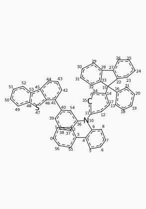 c1ccc(-c2ccccc2N(c2ccc(C3(c4ccccc4)c4ccccc4-c4ccccc43)cc2)c2cccc(-c3cccc4c3sc3ccccc34)c2)cc1